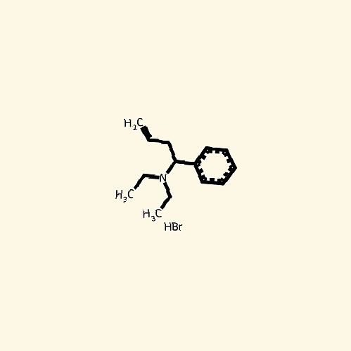 Br.C=CCC(c1ccccc1)N(CC)CC